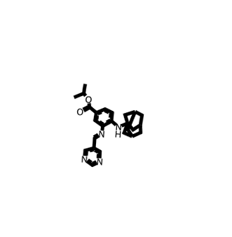 CC(C)OC(=O)c1ccc(NC23CC4CC(CC(C4)C2)C3)c(/N=C/c2cncnc2)c1